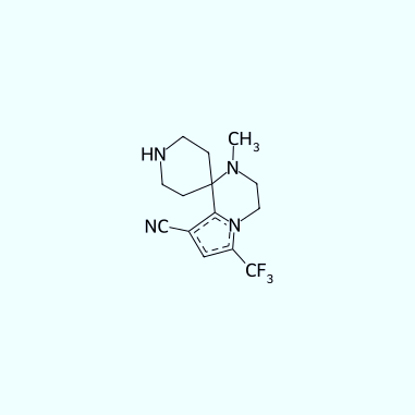 CN1CCn2c(C(F)(F)F)cc(C#N)c2C12CCNCC2